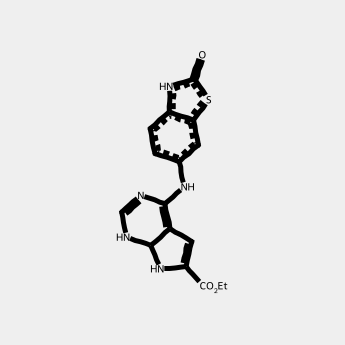 CCOC(=O)C1=CC2=C(Nc3ccc4[nH]c(=O)sc4c3)N=CNC2N1